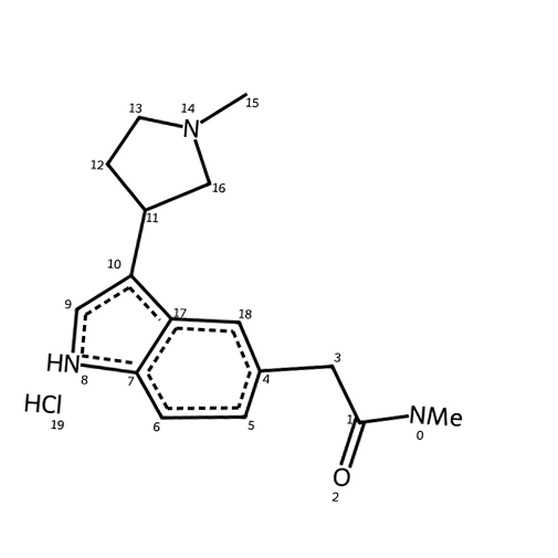 CNC(=O)Cc1ccc2[nH]cc(C3CCN(C)C3)c2c1.Cl